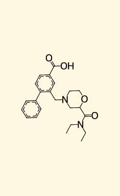 CCN(CC)C(=O)C1CN(Cc2cc(C(=O)O)ccc2-c2ccccc2)CCO1